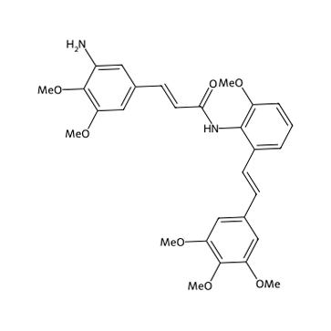 COc1cccc(/C=C/c2cc(OC)c(OC)c(OC)c2)c1NC(=O)/C=C/c1cc(N)c(OC)c(OC)c1